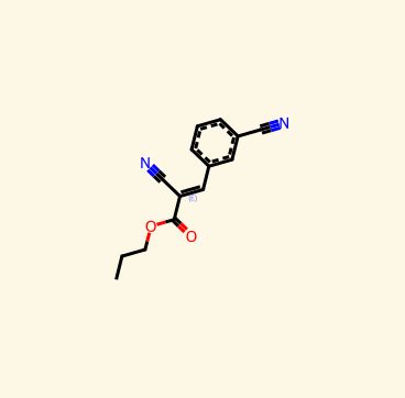 CCCOC(=O)/C(C#N)=C/c1cccc(C#N)c1